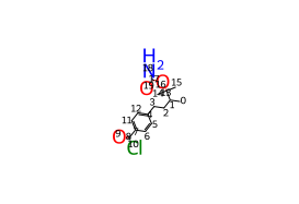 CC(CCc1ccc(C(=O)Cl)cc1)C(C)(C)OC(N)=O